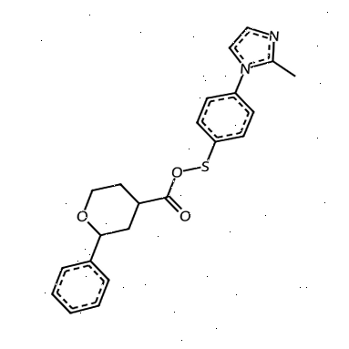 Cc1nccn1-c1ccc(SOC(=O)C2CCOC(c3ccccc3)C2)cc1